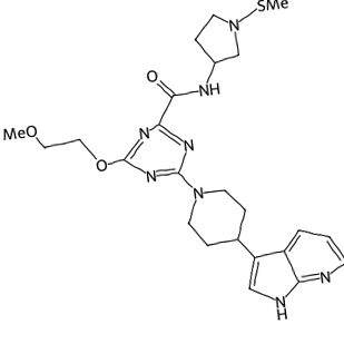 COCCOc1nc(C(=O)NC2CCN(SC)C2)nc(N2CCC(c3c[nH]c4ncccc34)CC2)n1